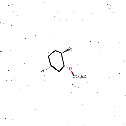 CCOC(=O)O[C@@H]1C[C@H](C)CC[C@H]1C(C)C